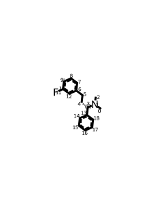 CN(C)[C@@H](CCc1cc[c]c(F)c1)c1ccccc1